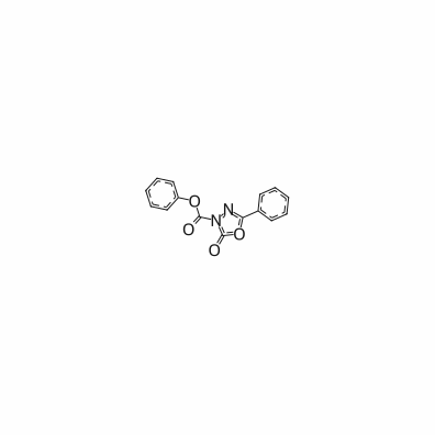 O=C(Oc1ccccc1)n1nc(-c2ccccc2)oc1=O